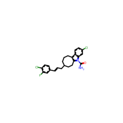 NC(=O)n1c2c(c3ccc(Cl)cc31)CCCC(C/C=C/c1ccc(Cl)c(F)c1)CC2